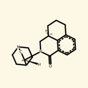 O=C1c2cccc3c2[C@H](CCC3)CN1[C@H]1CN2CCC1CC2